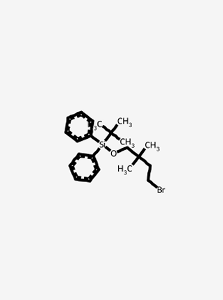 CC(C)(CCBr)CO[Si](c1ccccc1)(c1ccccc1)C(C)(C)C